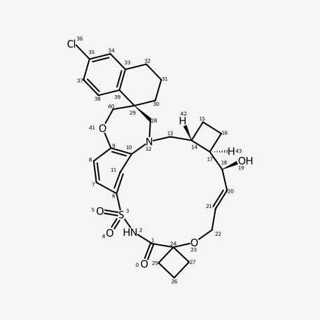 O=C1NS(=O)(=O)c2ccc3c(c2)N(C[C@@H]2CC[C@H]2[C@@H](O)/C=C/COC12CCC2)C[C@@]1(CCCc2cc(Cl)ccc21)CO3